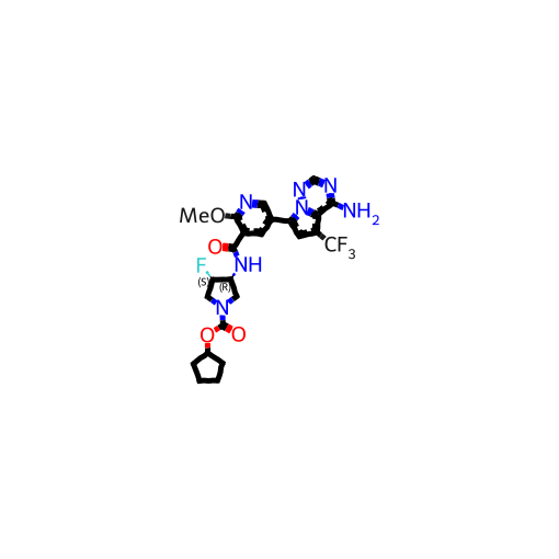 COc1ncc(-c2cc(C(F)(F)F)c3c(N)ncnn23)cc1C(=O)N[C@@H]1CN(C(=O)OC2CCCC2)C[C@@H]1F